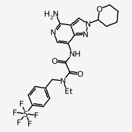 CCN(Cc1ccc(S(F)(F)(F)(F)F)cc1)C(=O)C(=O)Nc1cnc(N)c2cn(C3CCCCO3)nc12